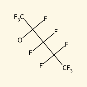 [O]C(F)(C(F)(F)F)C(F)(F)C(F)(F)C(F)(F)F